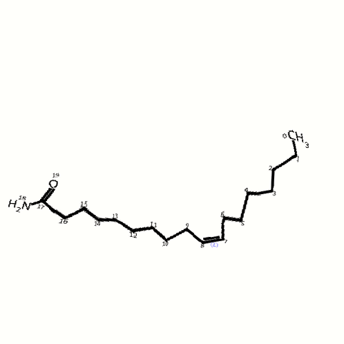 CCCCCCC/C=C\CCCCCCCCC(N)=O